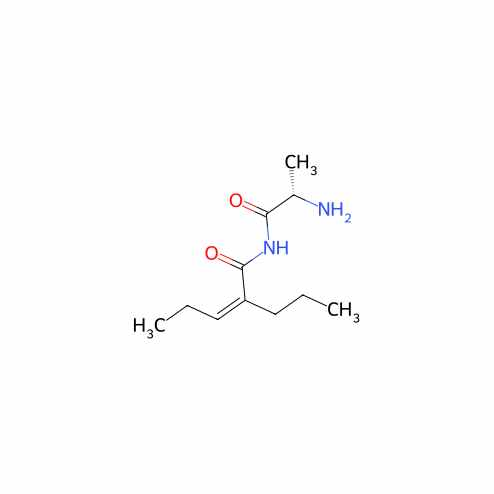 CCC=C(CCC)C(=O)NC(=O)[C@H](C)N